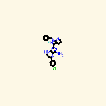 Nc1nc(-c2nn(Cc3ccccc3F)c3ncccc23)nc2c1N=C(c1ccc(Cl)cc1)CCN2